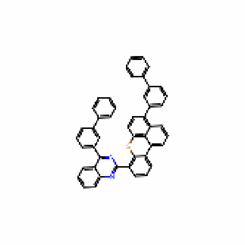 c1ccc(-c2cccc(-c3nc(-c4cccc5c4Sc4ccc(-c6cccc(-c7ccccc7)c6)c6cccc-5c46)nc4ccccc34)c2)cc1